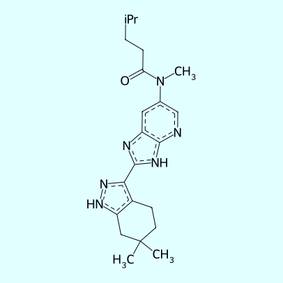 CC(C)CCC(=O)N(C)c1cnc2[nH]c(-c3n[nH]c4c3CCC(C)(C)C4)nc2c1